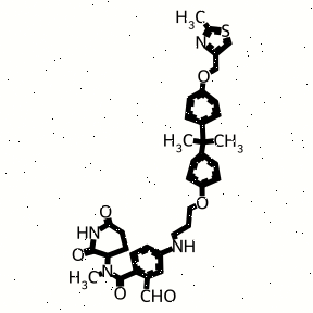 Cc1nc(COc2ccc(C(C)(C)c3ccc(OCCCNc4ccc(C(=O)N(C)C5CCC(=O)NC5=O)c(C=O)c4)cc3)cc2)cs1